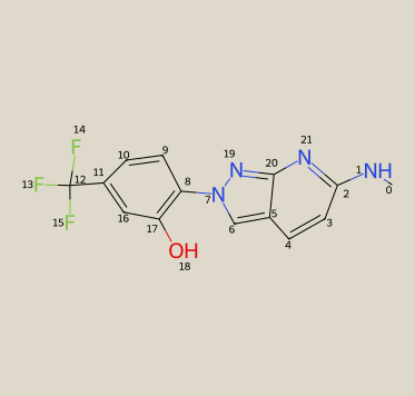 CNc1ccc2cn(-c3ccc(C(F)(F)F)cc3O)nc2n1